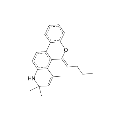 CCCC=C1Oc2ccccc2-c2ccc3c(c21)C(C)=CC(C)(C)N3